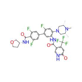 C[C@@H]1CN(c2cc(F)c(-c3cc(F)c(C(=O)N[C@@H]4CCOC4)c(F)c3)cc2NC(=O)c2c[nH]c(=O)cc2C(F)(F)F)C[C@H](C)N1C